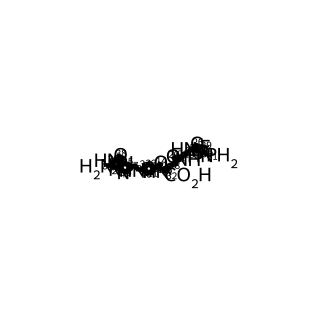 Nc1nc2ncc(CNc3ccc(C(=O)N[C@@H](CCC(=O)NCCNC(=O)S[P@@](F)NP)C(=O)O)cc3)nc2c(=O)[nH]1